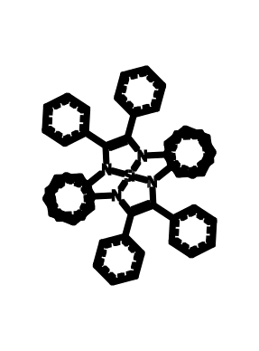 c1ccc(C2=C(c3ccccc3)N(c3ccccc3)[Si]3(N2c2ccccc2)N(c2ccccc2)C(c2ccccc2)=C(c2ccccc2)N3c2ccccc2)cc1